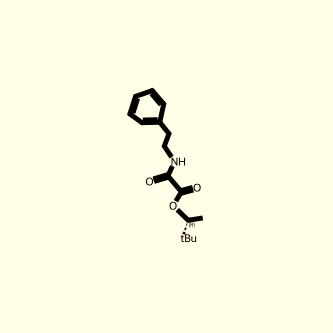 C[C@@H](OC(=O)C(=O)NCCc1ccccc1)C(C)(C)C